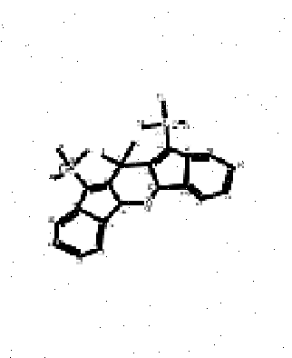 CC1(C)C2=[C]([Ge]([CH3])([CH3])[CH3])c3ccccc3[CH]2[Zr][CH]2C1=[C]([Ge]([CH3])([CH3])[CH3])c1ccccc12